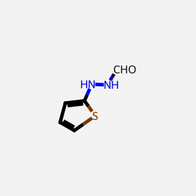 O=CNNc1cccs1